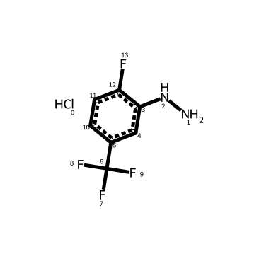 Cl.NNc1cc(C(F)(F)F)ccc1F